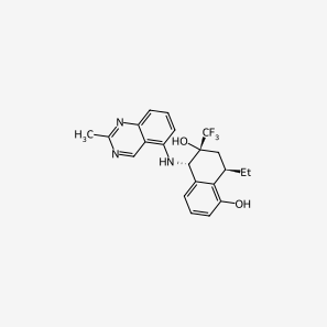 CC[C@@H]1C[C@](O)(C(F)(F)F)[C@@H](Nc2cccc3nc(C)ncc23)c2cccc(O)c21